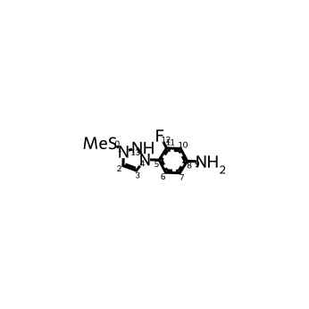 CSN1C=CN(c2ccc(N)cc2F)N1